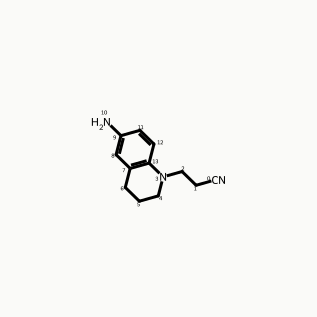 N#CCCN1CCCc2cc(N)ccc21